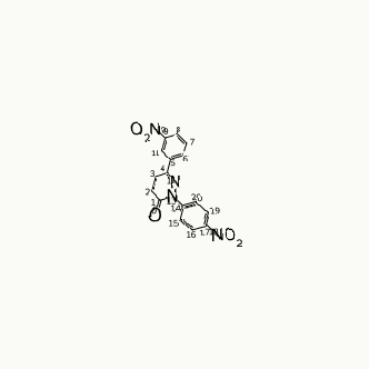 O=c1ccc(-c2cccc([N+](=O)[O-])c2)nn1-c1ccc([N+](=O)[O-])cc1